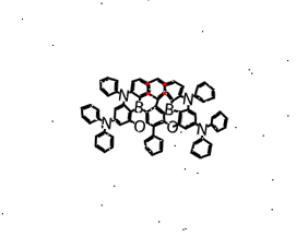 c1ccc(-c2c3c(c(-c4ccccc4)c4c2Oc2cc(N(c5ccccc5)c5ccccc5)cc5c2B4c2ccccc2N5c2ccccc2)B2c4ccccc4N(c4ccccc4)c4cc(N(c5ccccc5)c5ccccc5)cc(c42)O3)cc1